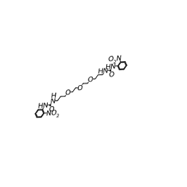 O=C(NCCCOCCOCCOCCCNC(=O)Nc1ccccc1[N+](=O)[O-])Nc1ccccc1[N+](=O)[O-]